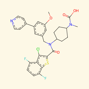 COc1cc(CN(C(=O)c2sc3c(F)ccc(F)c3c2Cl)C2CCC(N(C)C(=O)O)CC2)cc(-c2ccncc2)c1